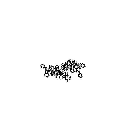 CO[C@@H]1[C@H](O[Si](C)(C)C(C)(C)C)[C@@H](CO[P@]2(=S)OC[C@H]3O[C@@H](n4cnc5c(=O)n(Cc6ccccc6)c(N(Cc6ccccc6)Cc6ccccc6)nc54)[C@H](OC)[C@@H]3O2)O[C@H]1n1cnc2c(N(Cc3ccccc3)Cc3ccccc3)ncnc21